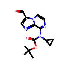 CC(C)(C)OC(=O)N(c1nccn2c(C=O)cnc12)C1CC1